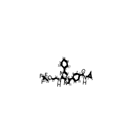 O=C(NC1CC1)c1ccc(-c2cnc3c(NCCOCC(F)(F)F)nc(-c4ccccc4)cn23)cc1